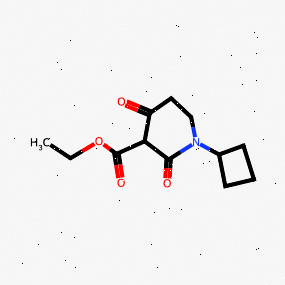 CCOC(=O)C1C(=O)CCN(C2CCC2)C1=O